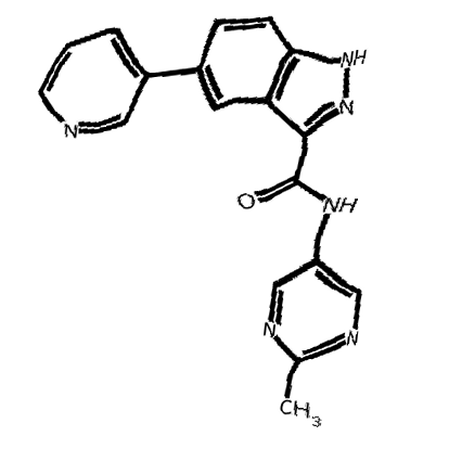 Cc1ncc(NC(=O)c2n[nH]c3ccc(-c4cccnc4)cc23)cn1